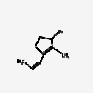 C/C=C\C1=C(C)C(C(C)C)CC1